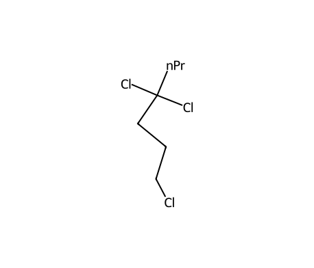 CCCC(Cl)(Cl)CCCCl